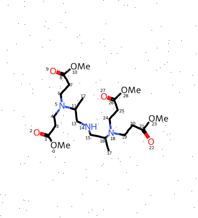 COC(=O)CCN(CCC(=O)OC)C(C)CNCC(C)N(CCC(=O)OC)CCC(=O)OC